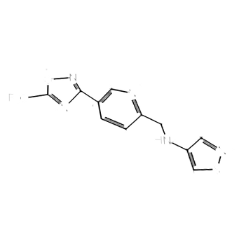 FC(F)(F)c1nc(-c2ccc(CNc3cnsc3)nc2)no1